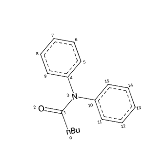 C[CH]CCC(=O)N(c1ccccc1)c1ccccc1